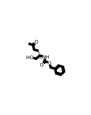 CC(=O)CC[C@@H](CO)NC(=O)OCc1ccccc1